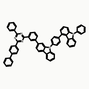 c1ccc(-c2ccc(-c3nc(-c4ccccc4)nc(-c4cccc(-c5ccc6c7ccccc7n(-c7ccc(-c8cccc9c8c8ccccc8n9-c8ccccc8)cc7)c6c5)c4)n3)cc2)cc1